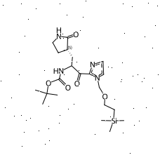 CC(C)(C)OC(=O)NC(C[C@@H]1CCNC1=O)C(=O)c1nccn1COCC[Si](C)(C)C